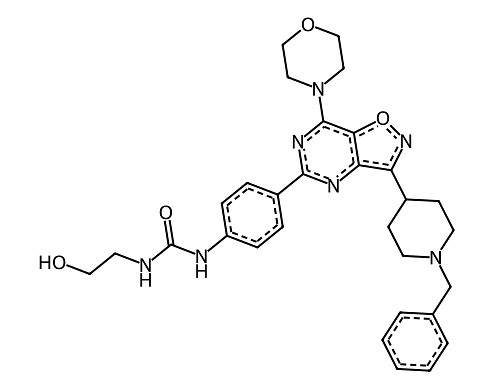 O=C(NCCO)Nc1ccc(-c2nc(N3CCOCC3)c3onc(C4CCN(Cc5ccccc5)CC4)c3n2)cc1